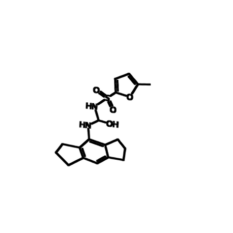 Cc1ccc(S(=O)(=O)NC(O)Nc2c3c(cc4c2CCC4)CCC3)o1